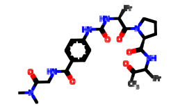 CC(C)C(NC(=O)[C@@H]1CCCN1C(=O)[C@@H](NC(=O)Nc1ccc(C(=O)NCC(=O)N(C)C)cc1)C(C)C)C(=O)C(F)(F)F